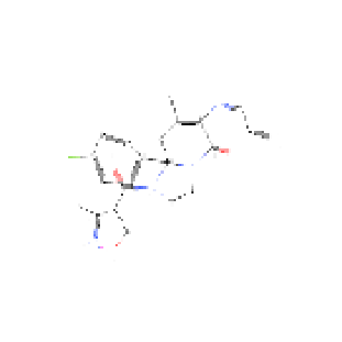 C=C/C=N\C1=C(C)CC2(c3ccc(F)cc3)N(CCN2C(=O)C2CON=C2C)C1=O